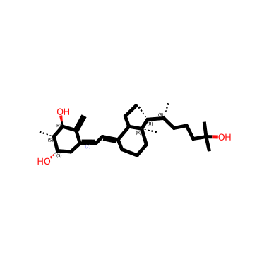 C=C1/C(=C\C=C2CCC[C@@]3(C)C2CC[C@@H]3[C@H](C)CCCC(C)(C)O)C[C@H](O)[C@H](C)[C@H]1O